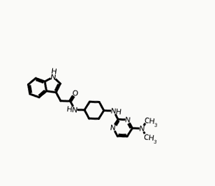 CN(C)c1ccnc(NC2CCC(NC(=O)Cc3c[nH]c4ccccc34)CC2)n1